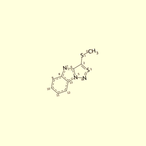 CSC1=S=Nn2c1nc1ccccc12